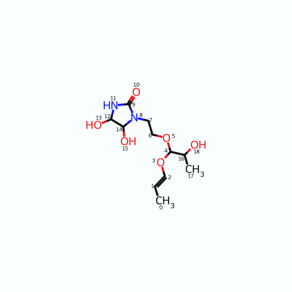 CC=COC(OCCN1C(=O)NC(O)C1O)C(C)O